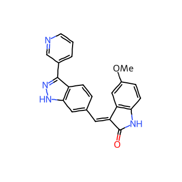 COc1ccc2c(c1)/C(=C\c1ccc3c(-c4cccnc4)n[nH]c3c1)C(=O)N2